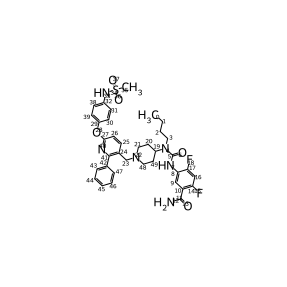 CCCCN(C(=O)Nc1cc(C(N)=O)c(F)cc1F)C1CCN(Cc2ccc(Oc3ccc(NS(C)(=O)=O)cc3)nc2-c2ccccc2)CC1